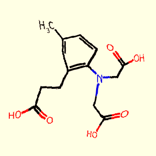 Cc1ccc(N(CC(=O)O)CC(=O)O)c(CCC(=O)O)c1